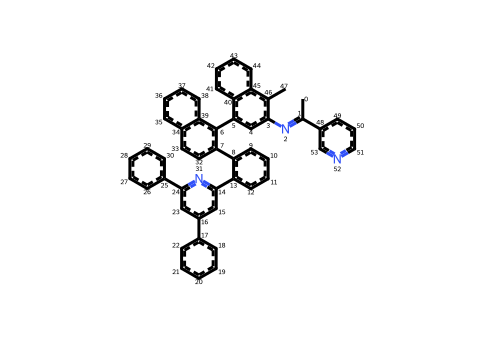 C/C(=N\c1cc(-c2c(-c3ccccc3-c3cc(-c4ccccc4)cc(-c4ccccc4)n3)ccc3ccccc23)c2ccccc2c1C)c1cccnc1